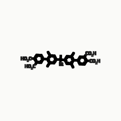 CCC(C)(c1cc(C)c(-c2ccc(C(=O)O)c(C(=O)O)c2)c(C)c1)c1cc(C)c(-c2ccc(C(=O)O)c(C(=O)O)c2)c(C)c1